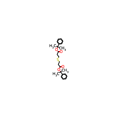 CC(C)(OC(=O)CCSCCC(=O)OC(C)(C)c1ccccc1)c1ccccc1